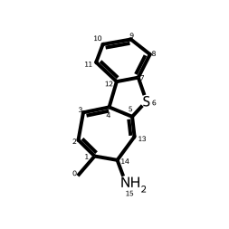 CC1=CC=c2c(sc3ccccc23)=CC1N